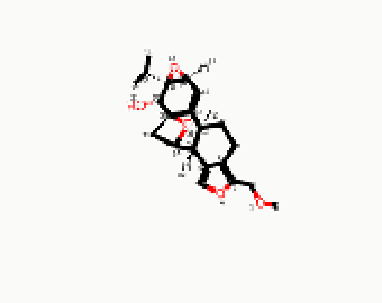 COCc1occ2c1CC[C@]1(C)C3=C[C@@H]4O[C@]4(C(C)C)[C@@H](O)[C@]34CC(O4)[C@@H]21